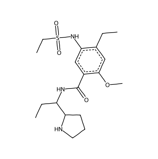 CCc1cc(OC)c(C(=O)NC(CC)C2CCCN2)cc1NS(=O)(=O)CC